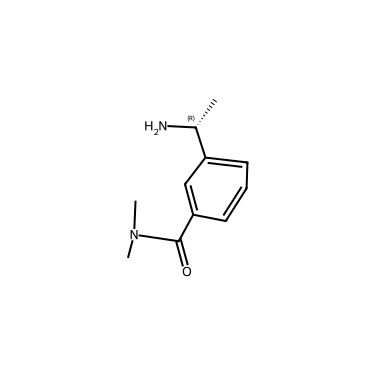 C[C@@H](N)c1cccc(C(=O)N(C)C)c1